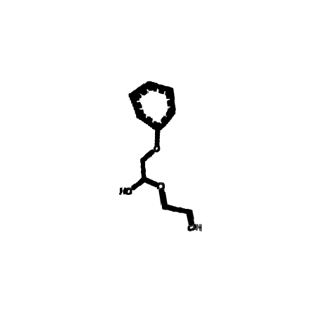 OCCOC(O)COc1ccccc1